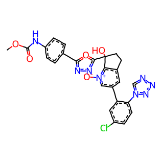 COC(=O)Nc1ccc(-c2nnc(C3(O)CCc4cc(-c5cc(Cl)ccc5-n5cnnn5)c[n+]([O-])c43)o2)cc1